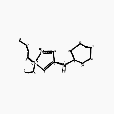 CCC[N+]1(CC)C=C(NC2CCCCC2)C=N1